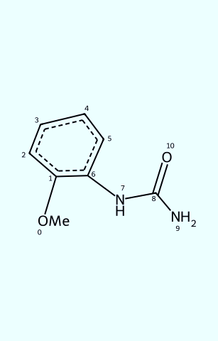 COc1ccccc1NC(N)=O